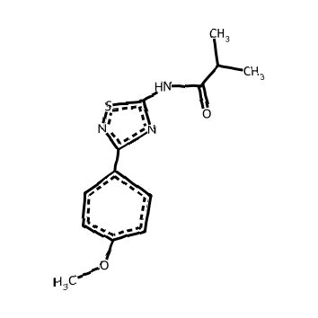 COc1ccc(-c2nsc(NC(=O)C(C)C)n2)cc1